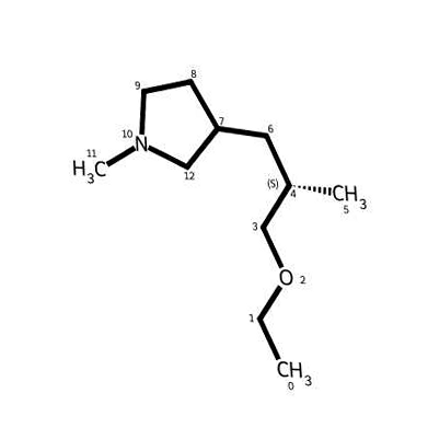 CCOC[C@@H](C)CC1CCN(C)C1